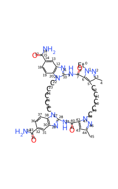 CCn1nc(C)c2c1C(=O)Nc1nc3cc(C(N)=O)ccc3n1CCCCCn1c(nc3cc(C(N)=O)ccc31)NC(=O)c1cc(C)nn1CCCCC2